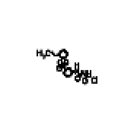 CCCc1ccccc1OS(=O)(=O)c1cccc(NC(=O)NC(=O)CCl)c1